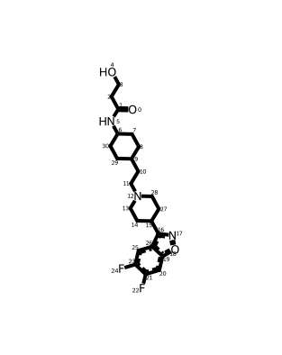 O=C(CCO)NC1CCC(CCN2CCC(c3noc4cc(F)c(F)cc34)CC2)CC1